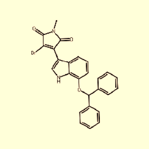 CN1C(=O)C(Br)=C(c2c[nH]c3c(OC(c4ccccc4)c4ccccc4)cccc23)C1=O